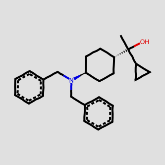 CC(O)(C1CC1)[C@H]1CC[C@H](N(Cc2ccccc2)Cc2ccccc2)CC1